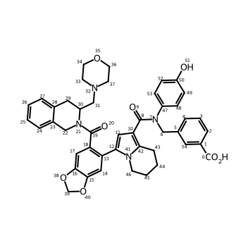 O=C(O)c1cccc(CN(C(=O)c2cc(-c3cc4c(cc3C(=O)N3Cc5ccccc5CC3CN3CCOCC3)OCO4)n3c2CCCC3)c2ccc(O)cc2)c1